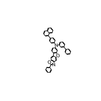 c1ccc(-c2cccc(N(c3ccc(-c4cccc5ccccc45)cc3)c3ccc4c(c3)oc3cc5nc(-c6ccccc6)oc5cc34)c2)cc1